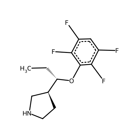 CC[C@H](Oc1c(F)c(F)cc(F)c1F)[C@H]1CCNC1